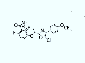 CC(Oc1ccc(F)c(C(N)=O)c1F)c1nc(-c2ccc(OC(F)(F)F)cc2)c(Cl)o1